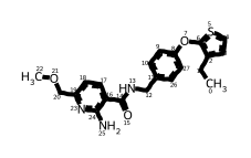 CCc1ccsc1Oc1ccc(CNC(=O)c2ccc(COC)nc2N)cc1